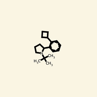 CC(C)(C)N1CCCC1c1ccccc1C1CCC1